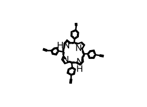 C#Cc1ccc(-c2c3nc(c(-c4ccc(C#C)cc4)c4ccc([nH]4)c(-c4ccc(C#C)cc4)c4nc(c(-c5ccc(C#C)cc5)c5ccc2[nH]5)C=C4)C=C3)cc1